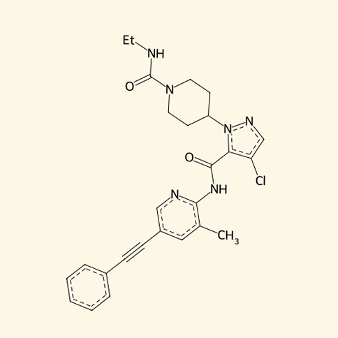 CCNC(=O)N1CCC(n2ncc(Cl)c2C(=O)Nc2ncc(C#Cc3ccccc3)cc2C)CC1